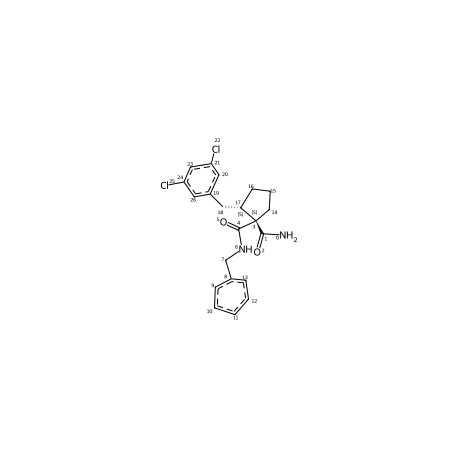 NC(=O)[C@]1(C(=O)NCc2ccccc2)CCC[C@H]1Cc1cc(Cl)cc(Cl)c1